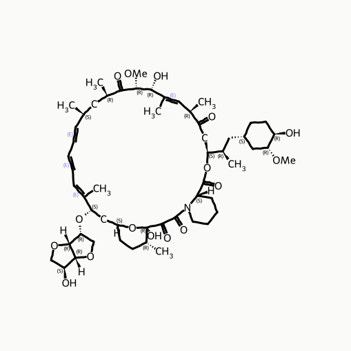 CO[C@@H]1C[C@H](C[C@@H](C)[C@@H]2CC(=O)[C@H](C)/C=C(\C)[C@@H](O)[C@@H](OC)C(=O)[C@H](C)C[C@H](C)/C=C/C=C/C=C(\C)[C@@H](O[C@@H]3CO[C@H]4[C@@H]3OC[C@@H]4O)C[C@@H]3CC[C@@H](C)[C@@](O)(O3)C(=O)C(=O)N3CCCC[C@H]3C(=O)O2)CC[C@H]1O